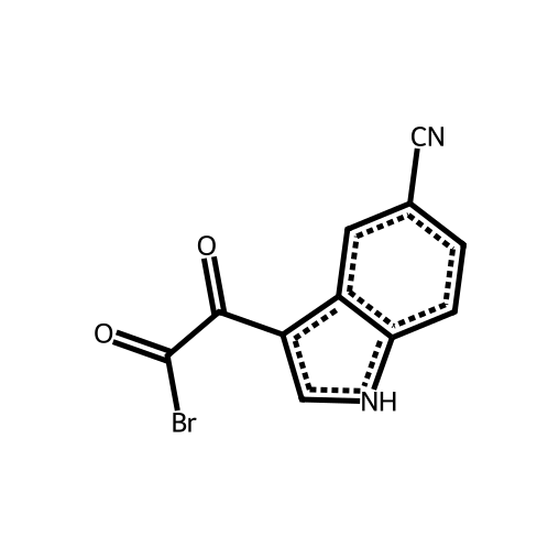 N#Cc1ccc2[nH]cc(C(=O)C(=O)Br)c2c1